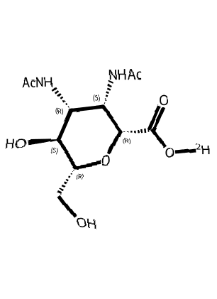 [2H]OC(=O)[C@@H]1O[C@H](CO)[C@@H](O)[C@H](NC(C)=O)[C@@H]1NC(C)=O